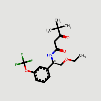 CCOC[C@H](NC(=O)CC(=O)C(C)(C)C)c1cccc(OC(F)(F)F)c1